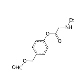 CCNCC(=O)Oc1ccc(COC=O)cc1